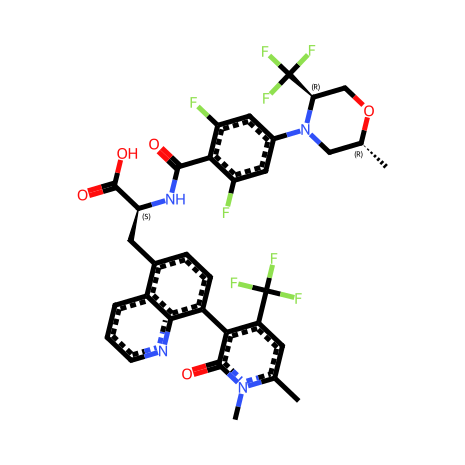 Cc1cc(C(F)(F)F)c(-c2ccc(C[C@H](NC(=O)c3c(F)cc(N4C[C@@H](C)OC[C@@H]4C(F)(F)F)cc3F)C(=O)O)c3cccnc23)c(=O)n1C